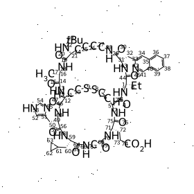 CC[C@@H]1NC(=O)[C@H]2CCSSCC[C@@H](NC(=O)[C@H](C)NC(=O)[C@H](NC(C)(C)C)CCCCNC(=O)[C@H](Cc3cc4ccccc4cn3)NC1=O)C(=O)N[C@@H](Cc1c[nH]cn1)C(=O)N[C@@H](CC1CC1)C(=O)NCC(=O)N[C@@H](CCC(=O)O)C(=O)N2